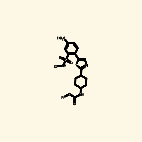 CCNS(=O)(=O)c1cc(C(=O)O)ccc1-c1cnc(C2CCC(NC(=O)OC(C)C)CC2)s1